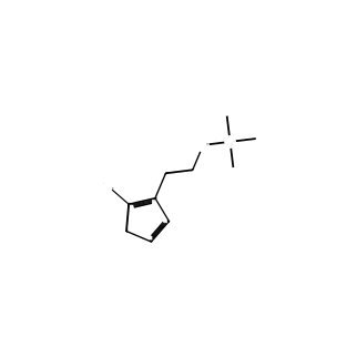 C[Si](C)(C)OCCC1=[C]([Zr+2])CC=C1.[Cl-].[Cl-]